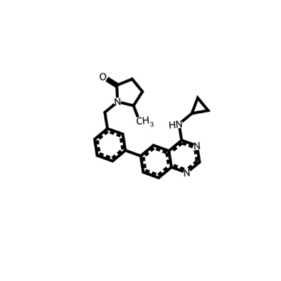 CC1CCC(=O)N1Cc1cccc(-c2ccc3ncnc(NC4CC4)c3c2)c1